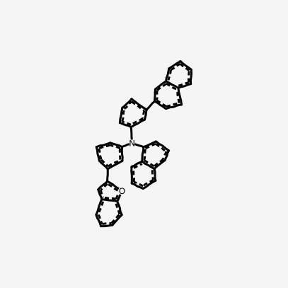 c1cc(-c2ccc3ccccc3c2)cc(N(c2cccc(-c3cc4ccccc4o3)c2)c2cccc3ccccc23)c1